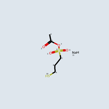 CC(=O)OS(=O)(=O)CCCS.[NaH]